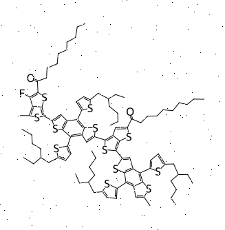 CCCCCCCCCC(=O)c1cc2c(-c3cc4c(-c5ccc(CC(CC)CCCC)s5)c5sc(-c6sc(C)c7c(F)c(C(=O)CCCCCCCCC)sc67)cc5c(-c5ccc(CC(CC)CCCC)s5)c4s3)sc(-c3cc4c(-c5ccc(CC(CC)CCCC)s5)c5sc(C)cc5c(-c5ccc(CC(CC)CCCC)s5)c4s3)c2s1